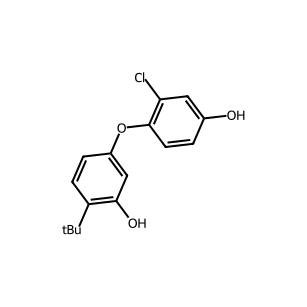 CC(C)(C)c1ccc(Oc2ccc(O)cc2Cl)cc1O